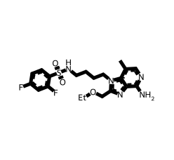 CCOCc1nc2c(N)ncc(C)c2n1CCCCNS(=O)(=O)c1ccc(F)cc1F